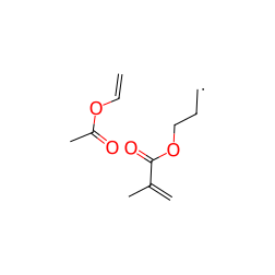 C=COC(C)=O.[CH2]CCOC(=O)C(=C)C